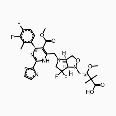 COC(=O)C1=C(CN2CC(F)(F)[C@H]3[C@@H]2CON3C[C@H](OC)C(C)(C)C(=O)O)NC(c2nccs2)=N[C@H]1c1ccc(F)c(F)c1C